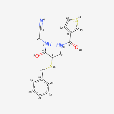 N#CCNC(=O)C(CNC(=O)c1ccsc1)SCc1ccccc1